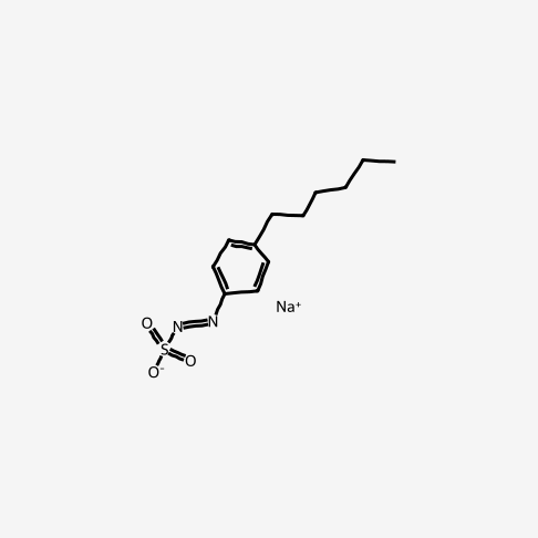 CCCCCCc1ccc(N=NS(=O)(=O)[O-])cc1.[Na+]